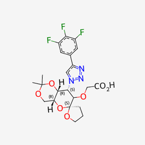 CC1(C)OC[C@H]2O[C@@]3(CCCO3)C(OCC(=O)O)[C@@H](n3cc(-c4cc(F)c(F)c(F)c4)nn3)[C@H]2O1